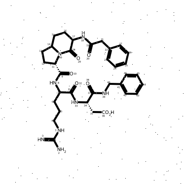 N=C(N)NCCCC(NC(=O)[C@@H]1CCC2CCC(NC(=O)Cc3ccccc3)C(=O)N21)C(=O)N[C@@H](CC(=O)O)C(=O)NCc1ccccc1